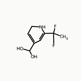 CC(F)(F)C1=CC(C(O)O)=CCN1